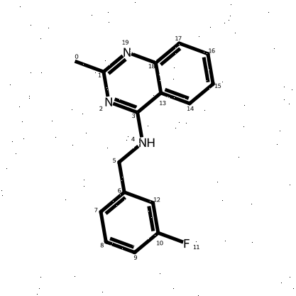 Cc1nc(NCc2cccc(F)c2)c2ccccc2n1